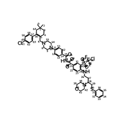 CC1(C)CCC(CN2CCN(c3ccc(C(=O)NS(=O)(=O)c4ccc(NCCC(CSc5ccccc5)N5CCOCC5)c(S(=O)(=O)C(F)(F)Cl)c4)cc3)CC2)=C(c2ccc(Cl)cc2)C1